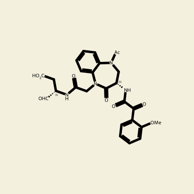 COc1ccccc1C(=O)C(=O)N[C@H]1CN(C(C)=O)c2ccccc2N(CC(=O)N[C@H](C=O)CC(=O)O)C1=O